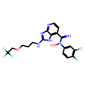 N=C(c1ccnc2nc(NCCCOCC(F)(F)F)[nH]c12)N(O)c1ccc(F)c(Cl)c1